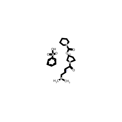 CN(C)C/C=C/C(=O)N1CC[C@H](OC(=O)N2CCCCC2)C1.O=S(=O)(O)c1ccccc1